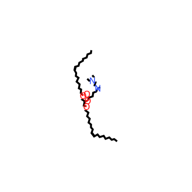 CCCCCCCC/C=C\CCCCCCCCOCC(COCCCCCCCC/C=C\CCCCCCCC)OC(=O)CCCN(C)CCN(CC)CC